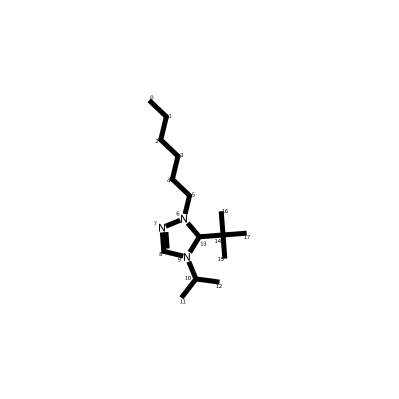 CCCCCCN1N=CN(C(C)C)C1C(C)(C)C